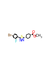 COC(=O)[C@H]1CC[C@H](c2nnc(-c3ccc(Br)cc3F)s2)CC1